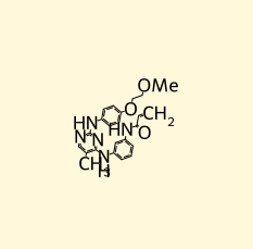 C=CC(=O)Nc1cccc(Nc2nc(Nc3ccc(OCCOC)cc3)ncc2C)c1